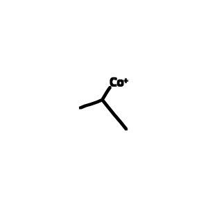 C[CH](C)[Co+]